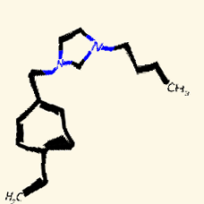 C=Cc1ccc(CN2CCN(CCCC)C2)cc1